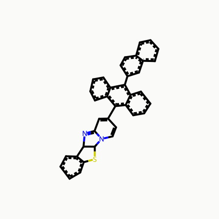 C1=CN2C(=NC3c4ccccc4SC32)C=C1c1c2ccccc2c(-c2ccc3ccccc3c2)c2ccccc12